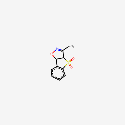 CC1=NOC2c3ccccc3S(=O)(=O)C12